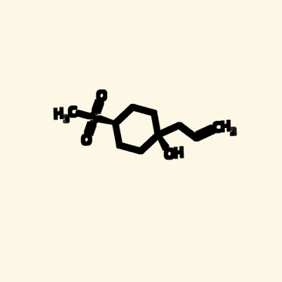 C=CC[C@]1(O)CC[C@@H](S(C)(=O)=O)CC1